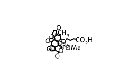 COC[C@H]1OC(=O)c2coc3c2[C@@]1(C)C1=C(C3=O)[C@@H]2CCC(=O)[C@@]2(C)C[C@H]1OCCCC(=O)O